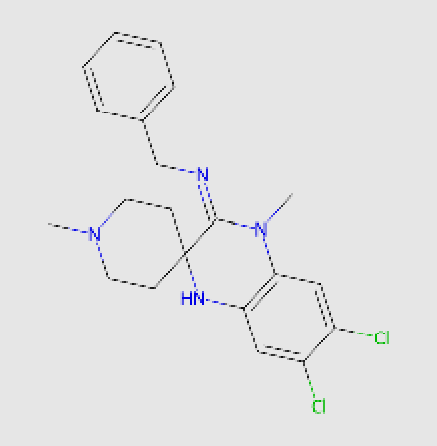 CN1CCC2(CC1)Nc1cc(Cl)c(Cl)cc1N(C)/C2=N/Cc1ccccc1